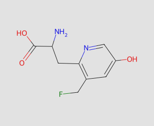 NC(Cc1ncc(O)cc1CF)C(=O)O